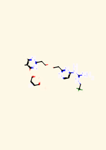 Cc1nc(CCOCCc2nccc(NC(N)=NCC(F)(F)F)n2)nc(OC(=O)/C=C\C(=O)O)c1C